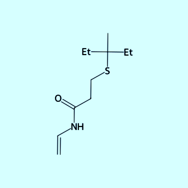 C=CNC(=O)CCSC(C)(CC)CC